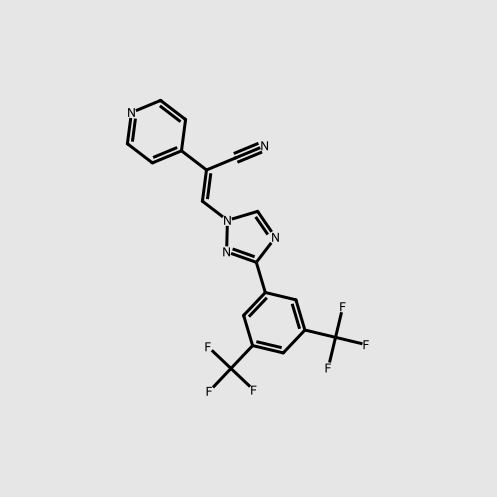 N#C/C(=C\n1cnc(-c2cc(C(F)(F)F)cc(C(F)(F)F)c2)n1)c1ccncc1